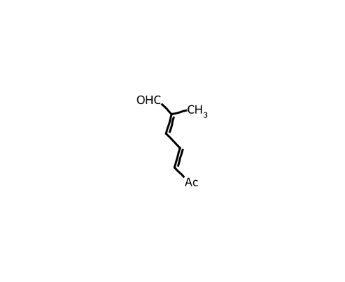 CC(=O)C=CC=C(C)C=O